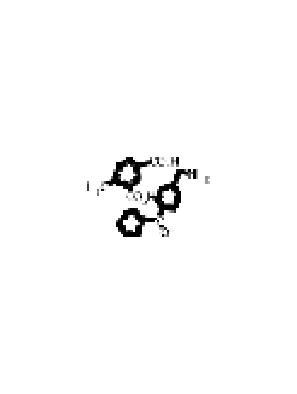 Cc1ccc(C(=O)O)cc1C(=O)O.NCc1ccc([S+]([O-])c2ccccc2)cc1